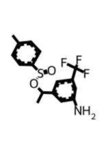 Cc1ccc(S(=O)OC(C)c2cc(N)cc(C(F)(F)F)c2)cc1